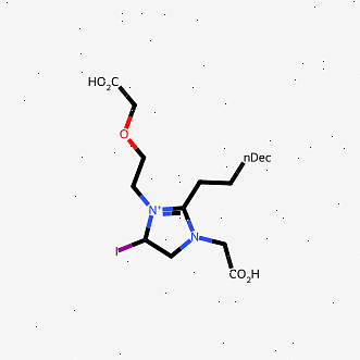 CCCCCCCCCCCCC1=[N+](CCOCC(=O)O)C(I)CN1CC(=O)O